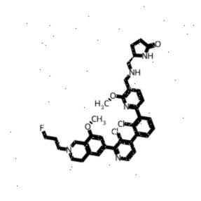 COc1cc(-c2nccc(-c3cccc(-c4ccc(CNC[C@H]5CCC(=O)N5)c(OC)n4)c3Cl)c2Cl)cc2c1CN(CCCF)CC2